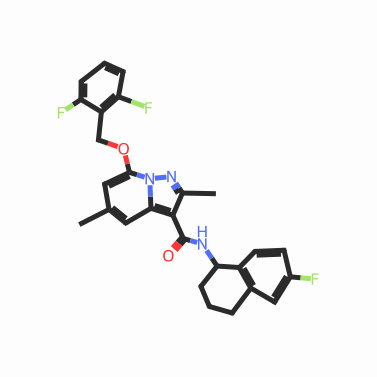 Cc1cc(OCc2c(F)cccc2F)n2nc(C)c(C(=O)NC3CCCc4cc(F)ccc43)c2c1